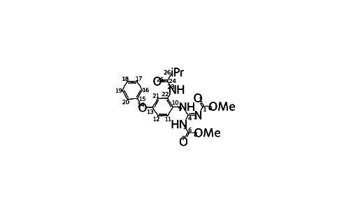 COC(=O)N=C(NC(=O)OC)Nc1ccc(Oc2ccccc2)cc1NC(=O)C(C)C